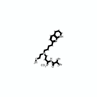 CCOCCN(CCCCc1ccc2c(n1)NCCC2)CCC(NC(=O)C(C(C)C)C(C)C)C(=O)O